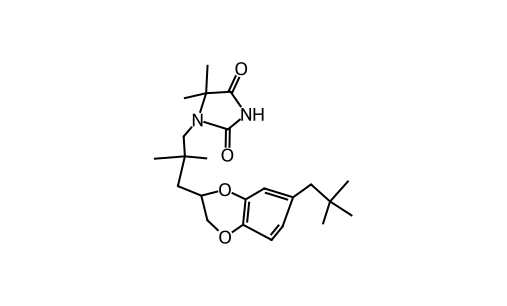 CC(C)(C)Cc1ccc2c(c1)OC(CC(C)(C)CN1C(=O)NC(=O)C1(C)C)CO2